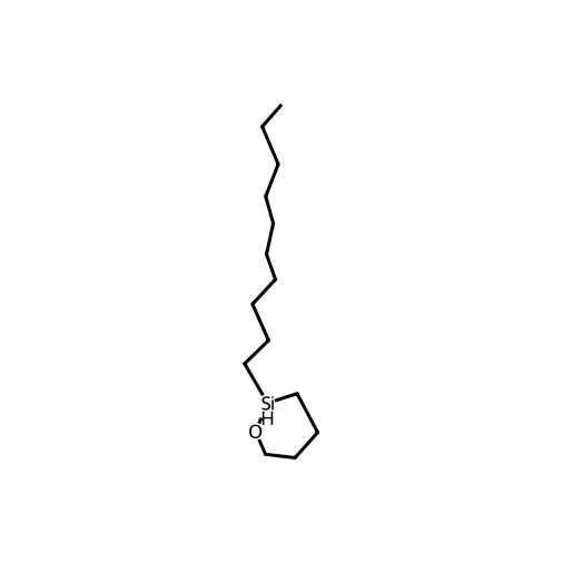 CCCCCCCCCC[SiH]1CCCCO1